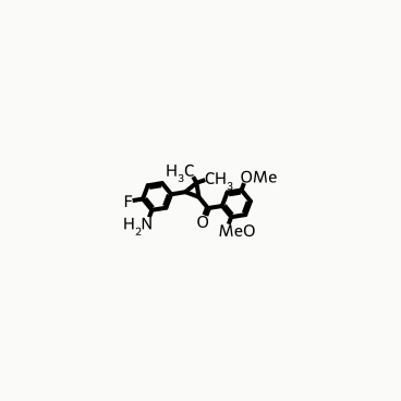 COc1ccc(OC)c(C(=O)C2C(c3ccc(F)c(N)c3)C2(C)C)c1